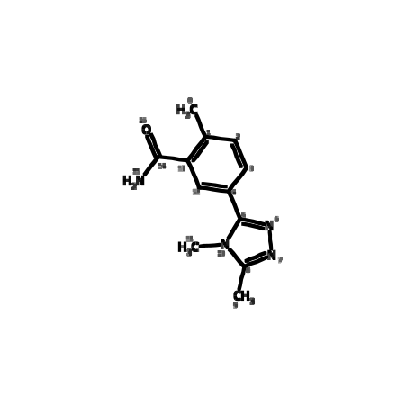 Cc1ccc(-c2nnc(C)n2C)cc1C(N)=O